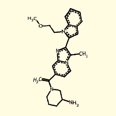 C=C(c1ccn2c(C)c(-c3cc4ccccc4n3CCOC)nc2c1)N1CCCC(N)C1